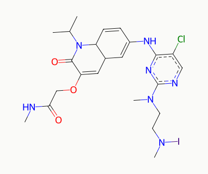 CNC(=O)COC1=CC2C=C(Nc3nc(N(C)CCN(C)I)ncc3Cl)C=CC2N(C(C)C)C1=O